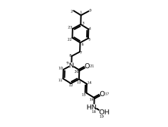 CC(C)c1ccc(CCn2cccc(/C=C/C(=O)NO)c2=O)cc1